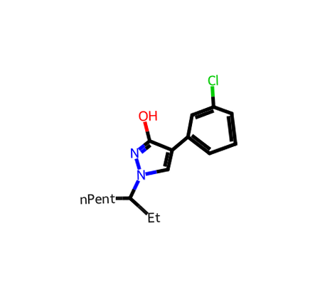 CCCCCC(CC)n1cc(-c2cccc(Cl)c2)c(O)n1